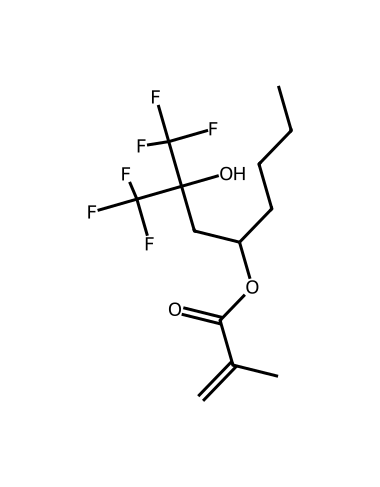 C=C(C)C(=O)OC(CCCC)CC(O)(C(F)(F)F)C(F)(F)F